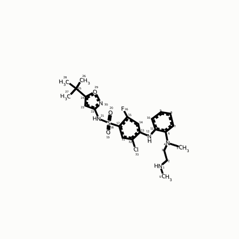 CNCCN(C)c1ccccc1Nc1cc(F)c(S(=O)(=O)Nc2cc(C(C)(C)C)on2)cc1Cl